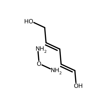 NON.OC=CC=CCO